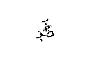 CN(C)C(=O)N1C[CH]C[C@H]1S(=O)(=O)N(C)C